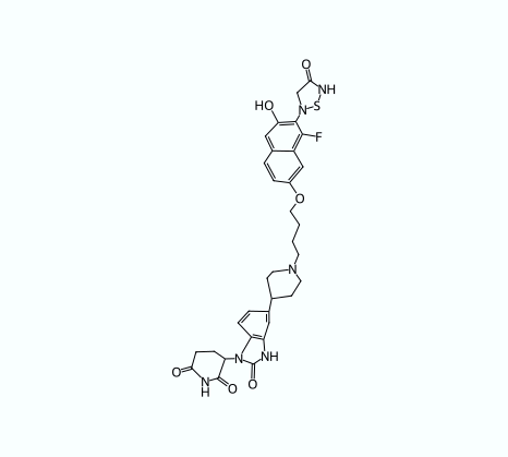 O=C1CN(c2c(O)cc3ccc(OCCCCN4CCC(c5ccc6c(c5)[nH]c(=O)n6C5CCC(=O)NC5=O)CC4)cc3c2F)SN1